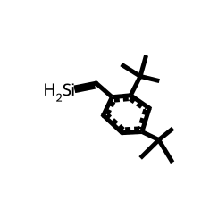 CC(C)(C)c1ccc(C=[SiH2])c(C(C)(C)C)c1